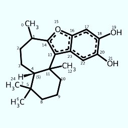 CC1CC[C@H]2C(C)(C)CCCC2(C)c2c1oc1cc(O)c(O)cc21